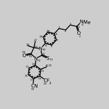 CNC(=O)CCCc1ccc(N2C(=S)N(c3ccc(C#N)c(C(F)(F)F)c3F)C(=O)C2(C)C)cc1